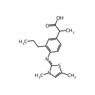 CCCc1cc(C(C)C(=O)O)ccc1/N=c1\sc(C)cn1C